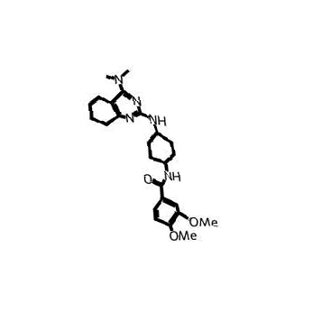 COc1ccc(C(=O)NC2CCC(Nc3nc4c(c(N(C)C)n3)CCCC4)CC2)cc1OC